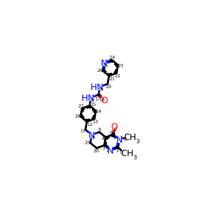 Cc1nc2c(c(=O)n1C)CN(Cc1ccc(NC(=O)NCc3cccnc3)cc1)CC2